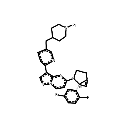 CC(C)N1CCC(Cc2ccc(-c3cnn4ccc(N5CCC6=C[C@]65c5cc(F)ccc5F)nc34)nc2)CC1